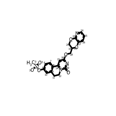 CS(=O)(=O)Oc1ccc2c(c1)CCn1c-2cc(OCC2COc3ncccc3O2)nc1=O